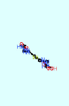 CC(=O)N[C@@H](C(=O)N1CCC[C@@H]1c1ncc(C#Cc2cc3sc(-c4ccc5[nH]c(C6CCCN6C(=O)[C@H](NC(=O)CO)C(C)C)nc5c4)cc3s2)[nH]1)C(C)C